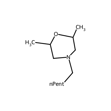 CCCCCCN1CC(C)OC(C)C1